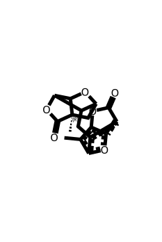 Cc1c2c3oc1c(CC1C4C[C@@]5(C)C(=O)OC1C5O4)c3C(=O)O2